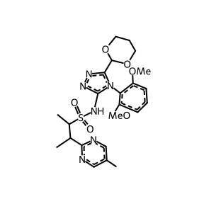 COc1cccc(OC)c1-n1c(NS(=O)(=O)C(C)C(C)c2ncc(C)cn2)nnc1C1OCCCO1